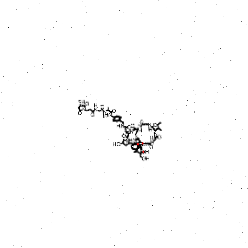 CCC(C)C1NC(=O)CNC(=O)C2Cc3c([nH]c4ccccc34)SCC(NC(=O)CNC1=O)C(=O)NC(CC(=O)NCc1ccc(NC(=O)[C@H](C)NC(=O)CNC(=O)CCN3C(=O)CC(S)C3=O)cc1)C(=O)N1CC(O)CC1CCC(C(C)C(O)CO)C(=O)N2